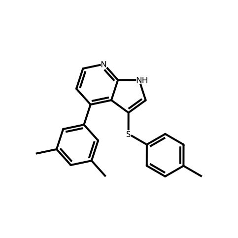 Cc1ccc(Sc2c[nH]c3nccc(-c4cc(C)cc(C)c4)c23)cc1